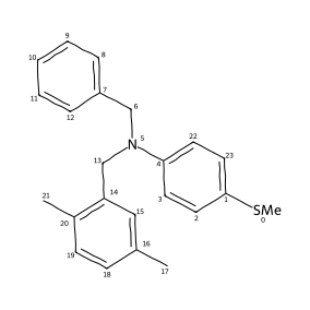 CSc1ccc(N(Cc2ccccc2)Cc2cc(C)ccc2C)cc1